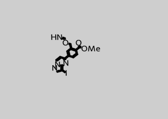 COC(=O)c1ccc(-c2ccn3ncc(I)c3n2)cc1COC=N